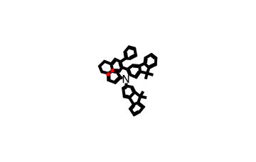 CC1(C)c2ccccc2-c2ccc(N(c3ccccc3)c3cc4c(cc3-c3cc5c(cc3-c3ccccc3)CCCC5)-c3ccccc3C4(C)C)cc21